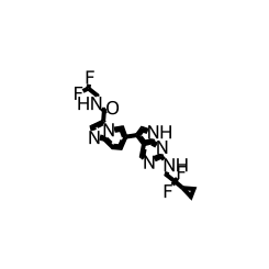 O=C(NCC(F)F)c1cnc2ccc(-c3c[nH]c4nc(NCC(F)(F)C5CC5)ncc34)cn12